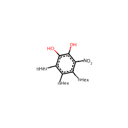 CCCCCCc1c(O)c(O)c([N+](=O)[O-])c(CCCCCC)c1CCCCCC